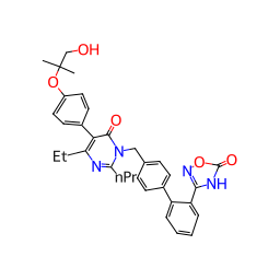 CCCc1nc(CC)c(-c2ccc(OC(C)(C)CO)cc2)c(=O)n1Cc1ccc(-c2ccccc2-c2noc(=O)[nH]2)cc1